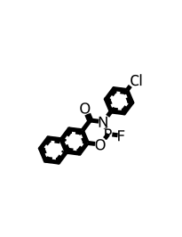 O=C1c2cc3ccccc3cc2OP(F)N1c1ccc(Cl)cc1